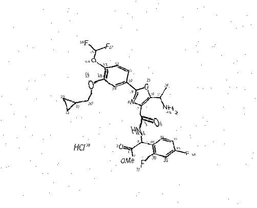 COC(=O)C(NC(=O)c1nc(-c2ccc(OC(F)F)c(OCC3CC3)c2)oc1C(C)N)c1ccc(F)cc1F.Cl